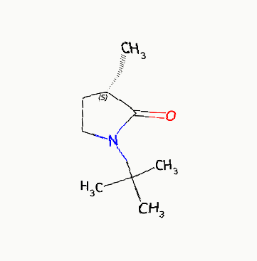 C[C@H]1CCN(C(C)(C)C)C1=O